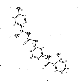 Cc1ccc([C@@H](C)NC(=S)Nc2cccc(NC(=O)c3ccccc3F)c2)cc1